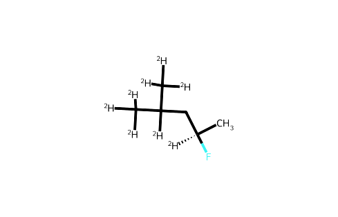 [2H]C([2H])([2H])C([2H])(C[C@@]([2H])(C)F)C([2H])([2H])[2H]